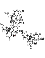 C=C1CC[C@@]2(O)[C@H]3Cc4ccc(O)c5c4[C@@]2(CCN3CC2CC2)[C@H]1O5.C=CCN1CC[C@]23c4c5ccc(O)c4O[C@H]2C(=O)CC[C@@]3(O)[C@H]1C5.O=C1CC[C@@]2(O)[C@H]3Cc4ccc(O)c5c4[C@@]2(CCN3CC2CC2)[C@H]1O5